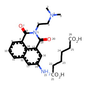 CN(C)CCN1C(=O)c2cccc3cc(N)cc(c23)C1=O.O=C(O)CCCCC(=O)O